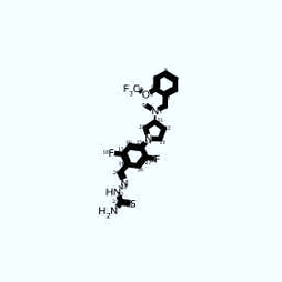 CN(Cc1ccccc1OC(F)(F)F)[C@@H]1CCN(c2cc(F)c(C=NNC(N)=S)cc2F)C1